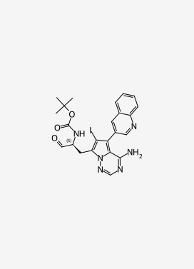 CC(C)(C)OC(=O)N[C@H](C=O)Cc1c(I)c(-c2cnc3ccccc3c2)c2c(N)ncnn12